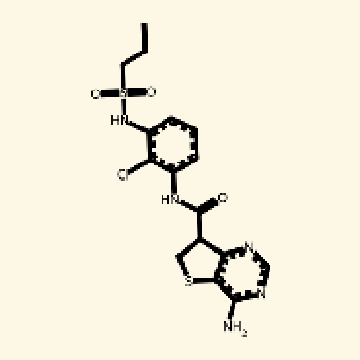 CCCS(=O)(=O)Nc1cccc(NC(=O)C2CSc3c(N)ncnc32)c1Cl